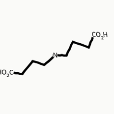 O=C(O)CCC[N]CCCC(=O)O